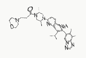 Cc1c(-c2[nH]c3ccc(N4C[C@@H](C)N(C(=O)CCN5CCOCC5)C[C@@H]4C)nc3c2C(C)C)cn2ncnc2c1C